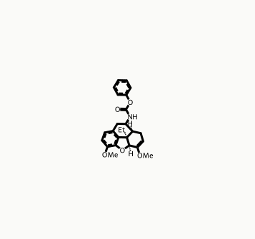 CC[C@@]12c3c4ccc(OC)c3O[C@@H]1C(OC)=CC[C@@H]2C(NC(=O)Oc1ccccc1)C4